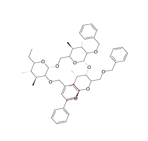 CCC1O[C@H](OCC2O[C@@H](O[C@@H]3C(COCc4ccccc4)O[C@@H](OCc4ccccc4)C(C)[C@@H]3C)C(OCc3ccccc3)[C@@H](C)[C@@H]2C)C(OCc2ccccc2)[C@@H](C)[C@@H]1C